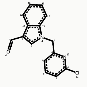 O=Cc1cn(Cc2cccc(Cl)n2)c2ccccc12